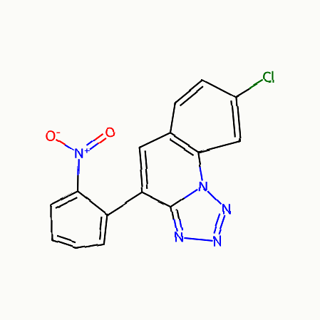 O=[N+]([O-])c1ccccc1-c1cc2ccc(Cl)cc2n2nnnc12